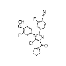 COc1ccc(-n2c(-c3ccc(C#N)c(F)c3)nc(C(=O)N3CCCC3)c2Cl)cc1F